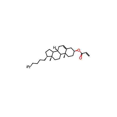 C=CC(=O)O[C@H]1CC[C@@]2(C)C(=CC[C@@H]3C2CC[C@@]2(C)C3CC[C@@H]2CCCCC(C)C)C1